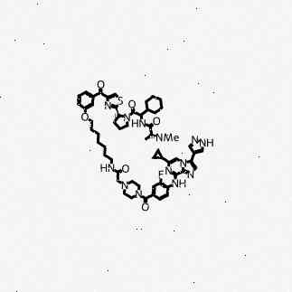 CN[C@@H](C)C(=O)NC(C(=O)N1CCC[C@H]1c1nc(C(=O)c2cccc(OCCCCCCCNC(=O)CN3CCN(C(=O)c4ccc(Nc5nc(C6CC6)cn6c(-c7cn[nH]c7)cnc56)c(F)c4)CC3)c2)cs1)C1CCCCC1